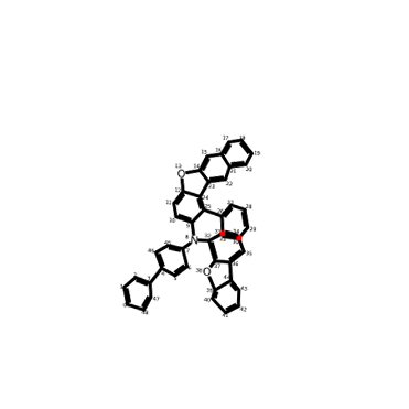 c1ccc(-c2ccc(N(c3ccc4oc5cc6ccccc6cc5c4c3-c3ccccc3)c3cccc4c3oc3ccccc34)cc2)cc1